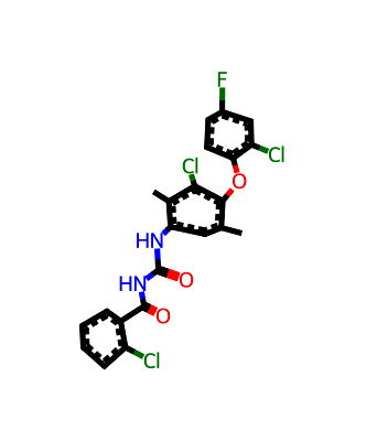 Cc1cc(NC(=O)NC(=O)c2ccccc2Cl)c(C)c(Cl)c1Oc1ccc(F)cc1Cl